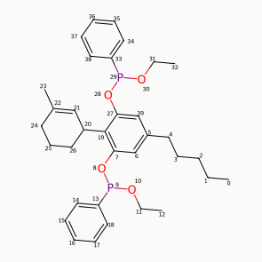 CCCCCc1cc(OP(OCC)c2ccccc2)c(C2C=C(C)CCC2)c(OP(OCC)c2ccccc2)c1